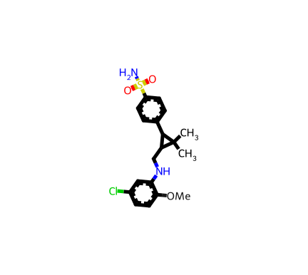 COc1ccc(Cl)cc1NCC1C(c2ccc(S(N)(=O)=O)cc2)C1(C)C